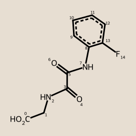 O=C(O)CNC(=O)C(=O)Nc1ccccc1F